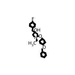 CCN1CCC(O)(Cc2ccc(F)cc2)CC1Oc1ccc(OCc2ccccc2)cc1